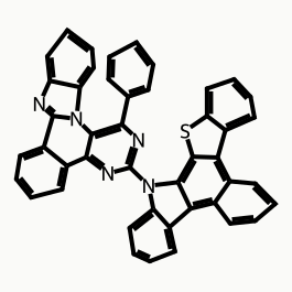 c1ccc(-c2nc(-n3c4ccccc4c4c5ccccc5c5c6ccccc6sc5c43)nc3c4ccccc4c4nc5ccccc5n4c23)cc1